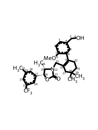 COc1ccc(CO)cc1C1=C(CN2C(=O)O[C@H](c3cc(C)cc(C(F)(F)F)c3)[C@@H]2C)CC(C)(C)CC1